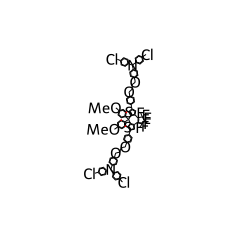 COc1ccc(C2(c3ccc(OC)cc3)c3sc(-c4ccc(OCCOc5ccc(N(c6ccc(Cl)cc6)c6ccc(Cl)cc6)cc5)cc4)cc3C3=C(c4cc(-c5ccc(OCCOc6ccc(N(c7ccc(Cl)cc7)c7ccc(Cl)cc7)cc6)cc5)sc42)C(F)(F)C(F)(F)C3(F)F)cc1